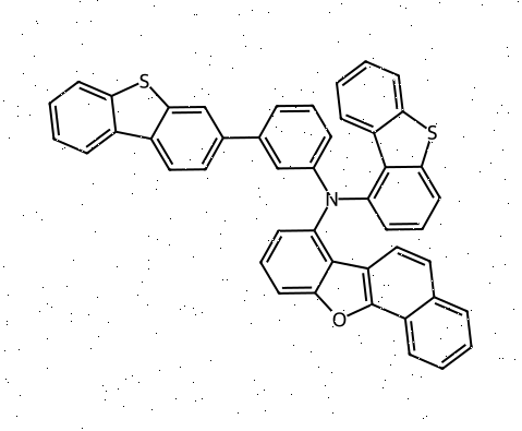 c1cc(-c2ccc3c(c2)sc2ccccc23)cc(N(c2cccc3oc4c5ccccc5ccc4c23)c2cccc3sc4ccccc4c23)c1